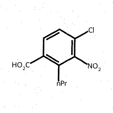 CCCc1c(C(=O)O)ccc(Cl)c1[N+](=O)[O-]